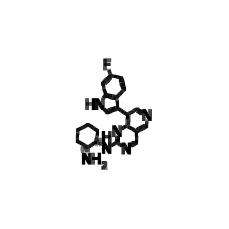 N[C@@H]1CCCC[C@@H]1Nc1ncc2cncc(-c3c[nH]c4cc(F)ccc34)c2n1